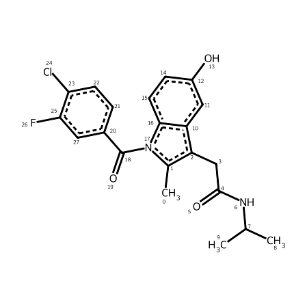 Cc1c(CC(=O)NC(C)C)c2cc(O)ccc2n1C(=O)c1ccc(Cl)c(F)c1